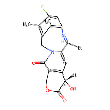 CC/C1=N\c2cc(F)c(C)c(c2C)Cn2c1cc1c(c2=O)COC(=O)[C@]1(O)CC